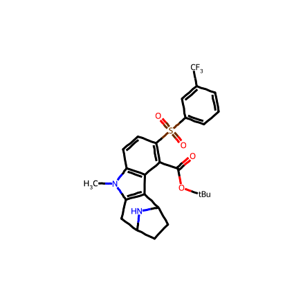 Cn1c2c(c3c(C(=O)OC(C)(C)C)c(S(=O)(=O)c4cccc(C(F)(F)F)c4)ccc31)C1CCC(C2)N1